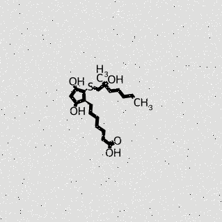 CCCCCC(C)(O)CS[C@H]1C(O)CC(O)[C@@H]1CCCCCCC(=O)O